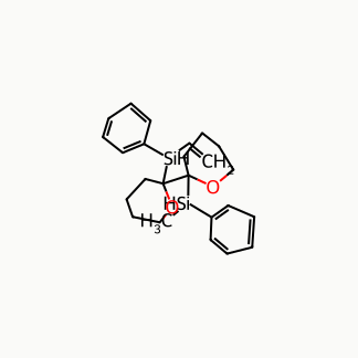 C=C[SiH](c1ccccc1)C1(C2([SiH](C)c3ccccc3)CCCCO2)CCCCO1